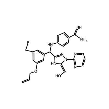 C=CCOc1cc(CF)cc(C(Nc2ccc(C(=N)N)cc2)C2=NN(c3ncccn3)/C(=C/O)N2)c1